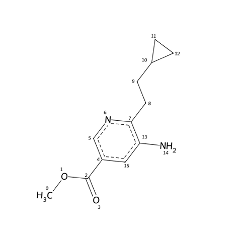 COC(=O)c1cnc(CCC2CC2)c(N)c1